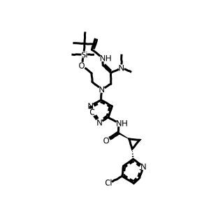 C=CN/C=C(/CN(CCO[Si](C)(C)C(C)(C)C)c1cc(NC(=O)[C@H]2C[C@@H]2c2cc(Cl)ccn2)ncn1)N(C)C